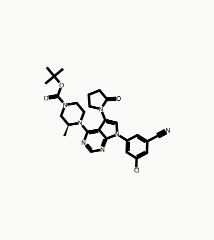 C[C@H]1CN(C(=O)OC(C)(C)C)CCN1c1ncnc2c1c(N1CCCC1=O)cn2-c1cc(Cl)cc(C#N)c1